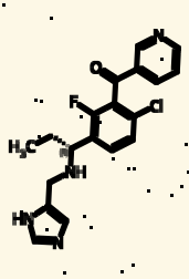 CC[C@@H](NCc1cnc[nH]1)c1ccc(Cl)c(C(=O)c2cccnc2)c1F